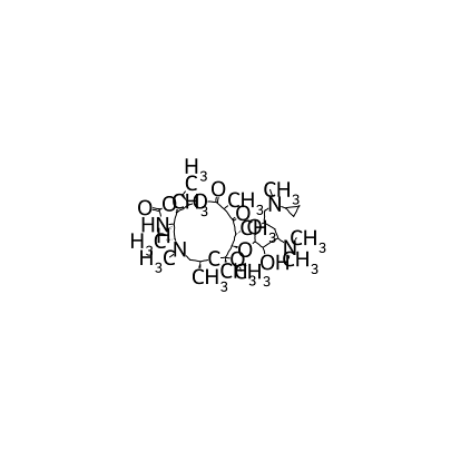 CC[C@H]1OC(=O)C(C)C(=O)[C@H](C)[C@@H](OC2OC(CN(C)C3CC3)CC(N(C)C)C2O)[C@](C)(OC)C[C@@H](C)CN(C)[C@H](C)[C@H]2NC(=O)O[C@@]21C